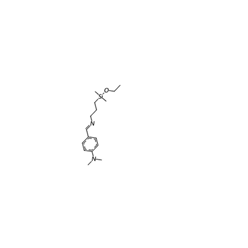 CCO[Si](C)(C)CCCN=Cc1ccc(N(C)C)cc1